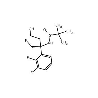 CC(C)(C)[S@@+]([O-])N[C@@](CF)(CCO)c1cccc(F)c1F